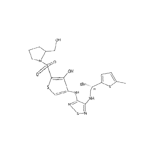 Cc1ccc([C@H](Nc2nsnc2Nc2csc(S(=O)(=O)N3CCCC3CO)c2O)C(C)(C)C)s1